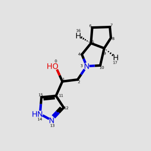 OC(CN1C[C@H]2CCC[C@H]2C1)c1cn[nH]c1